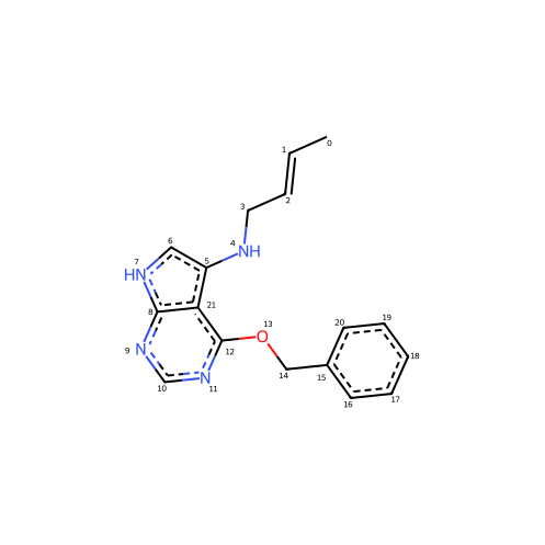 C/C=C/CNc1c[nH]c2ncnc(OCc3ccccc3)c12